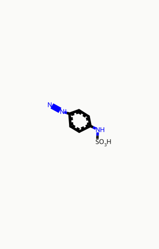 N#[N+]c1ccc(NS(=O)(=O)O)cc1